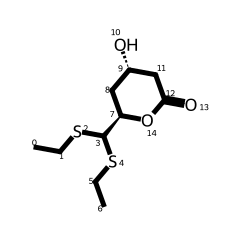 CCSC(SCC)[C@H]1C[C@H](O)CC(=O)O1